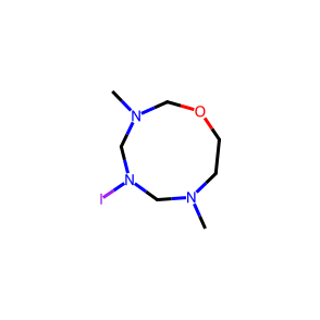 CN1CCOCN(C)CN(I)C1